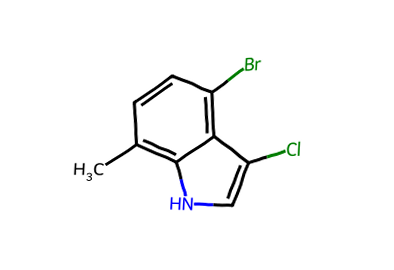 Cc1ccc(Br)c2c(Cl)c[nH]c12